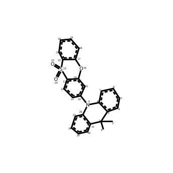 CC1(C)c2ccccc2N(c2ccc3c(c2)Oc2ccccc2S3(=O)=O)c2ccccc21